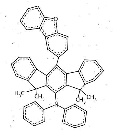 CC1(C)c2ccccc2-c2c(-c3ccc4oc5ccccc5c4c3)c3c(c(N(c4ccccc4)c4ccccc4)c21)C(C)(C)c1ccccc1-3